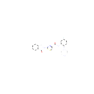 O=C(Nc1cc(F)ccc1N1CCNCC1)c1csc(N2Cc3ccc(O)cc3C2=O)n1